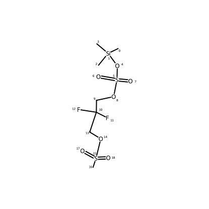 C[Si](C)(C)OS(=O)(=O)OCC(F)(F)COS(C)(=O)=O